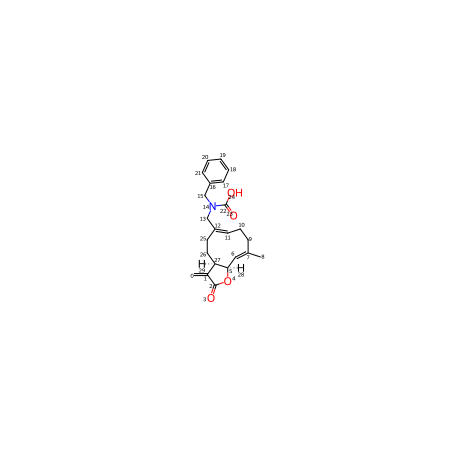 C=C1C(=O)O[C@@H]2/C=C(\C)CC/C=C(\CN(Cc3ccccc3)C(=O)O)CC[C@H]12